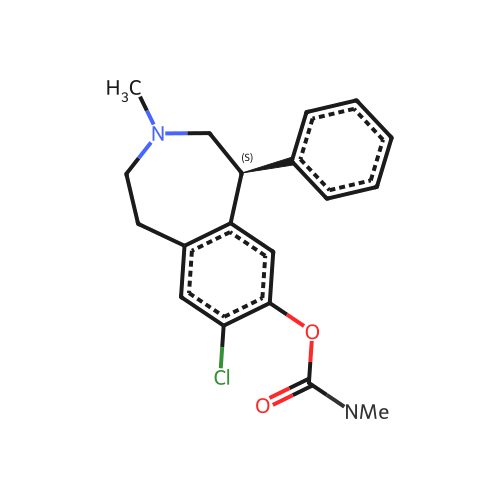 CNC(=O)Oc1cc2c(cc1Cl)CCN(C)C[C@H]2c1ccccc1